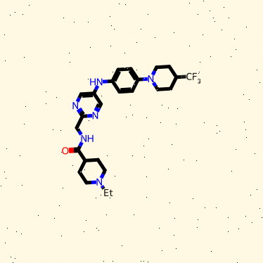 CCN1CCC(C(=O)NCc2ncc(Nc3ccc(N4CCC(C(F)(F)F)CC4)cc3)cn2)CC1